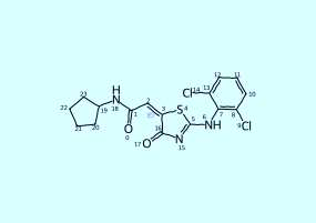 O=C(/C=C1/SC(Nc2c(Cl)cccc2Cl)=NC1=O)NC1CCCC1